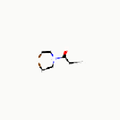 CC(C)(C)CC(=O)N1CCSCC1